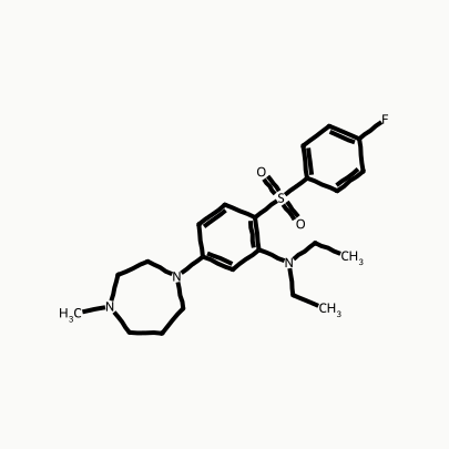 CCN(CC)c1cc(N2CCCN(C)CC2)ccc1S(=O)(=O)c1ccc(F)cc1